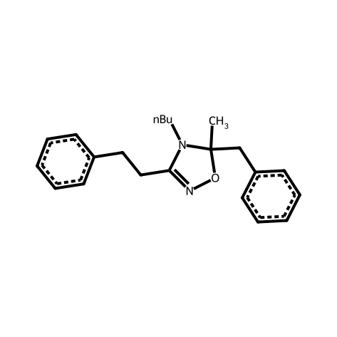 CCCCN1C(CCc2ccccc2)=NOC1(C)Cc1ccccc1